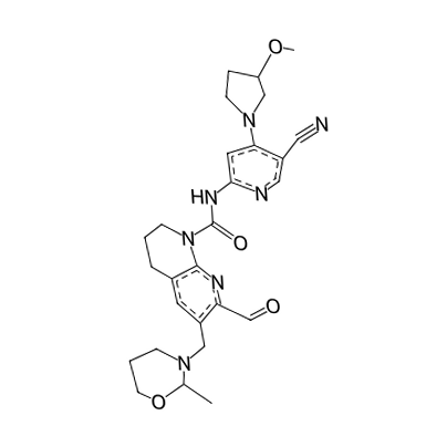 COC1CCN(c2cc(NC(=O)N3CCCc4cc(CN5CCCOC5C)c(C=O)nc43)ncc2C#N)C1